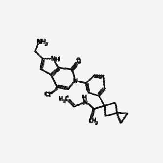 C=CNC(=C)C1(c2cccc(-n3cc(Cl)c4cc(CN)[nH]c4c3=O)c2)CC2(CC2)C1